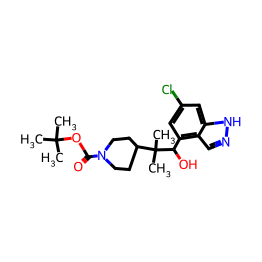 CC(C)(C)OC(=O)N1CCC(C(C)(C)C(O)c2cc(Cl)cc3[nH]ncc23)CC1